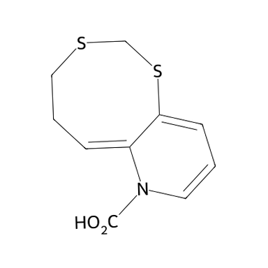 O=C(O)N1C=CC=C2SCSCCC=C21